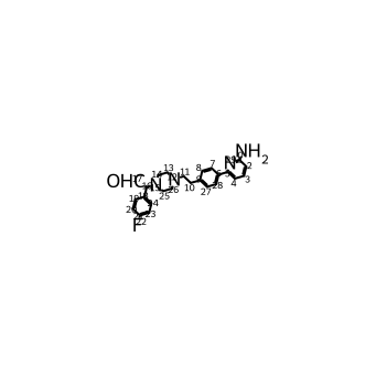 Nc1cccc(-c2ccc(CCN3CCN(C(C=O)c4ccc(F)cc4)CC3)cc2)n1